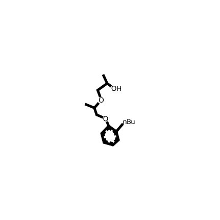 CCCCc1ccccc1OCC(C)OCC(C)O